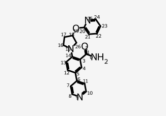 NC(=O)c1cc(-c2ccncc2)ccc1N1CC[C@H](Oc2ccccn2)C1